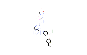 O=C(CN1CCOCC1)NCCn1ccc2ncnc(Nc3ccc(Oc4ccc5ccsc5c4)c(Cl)c3)c21